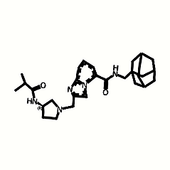 CC(C)C(=O)N[C@@H]1CCN(Cc2cn3c(C(=O)NCC45CC6CC(CC(C6)C4)C5)cccc3n2)C1